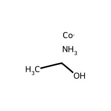 CCO.N.[Co]